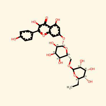 CC[C@H]1OC(OC[C@H]2O[C@@H](Oc3cc(O)c4c(=O)c(O)c(-c5ccc(O)cc5)oc4c3)[C@H](O)[C@H](O)[C@@H]2O)[C@H](O)[C@H](O)[C@@H]1O